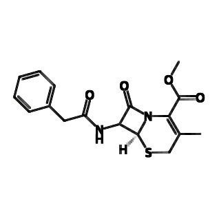 COC(=O)C1=C(C)CS[C@H]2C(NC(=O)Cc3ccccc3)C(=O)N12